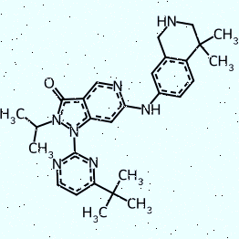 CC(C)n1c(=O)c2cnc(Nc3ccc4c(c3)CNCC4(C)C)cc2n1-c1nccc(C(C)(C)C)n1